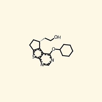 OCC[C@H]1CCc2sc3ncnc(OC4CCCCC4)c3c21